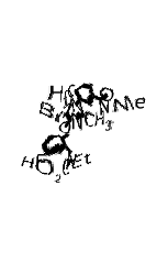 CCN(Cc1cc(F)ccc1COc1nc(C)n(-c2cc(C(=O)NC)ccc2C)c(=O)c1Br)C(=O)O